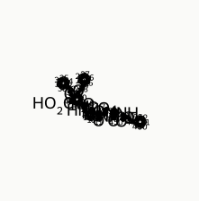 O=C(N[C@H]1CN(C(=O)NS(=O)(=O)N2CCN(NC(=O)c3cc(OCc4ccccc4)c(OCc4ccccc4)c(C(=O)O)n3)C2=O)C1=O)OCc1ccccc1